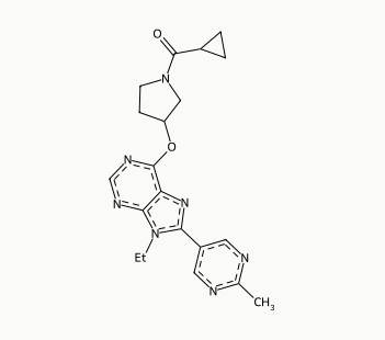 CCn1c(-c2cnc(C)nc2)nc2c(OC3CCN(C(=O)C4CC4)C3)ncnc21